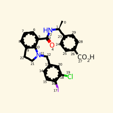 C[C@H](NC(=O)c1cccc2c1N(Cc1ccc(I)c(Cl)c1)CC2)c1ccc(C(=O)O)cc1